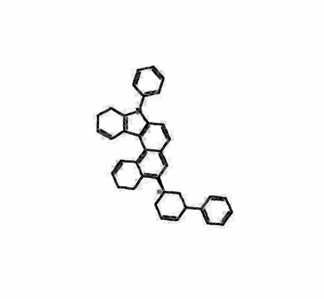 C1=Cc2c(c([C@@H]3CC=CC(c4ccccc4)C3)cc3ccc4c(c5c(n4-c4ccccc4)CCC=C5)c23)CC1